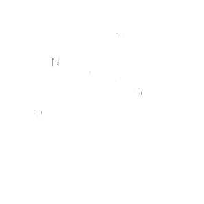 COC(=O)c1ncoc1C1CC1